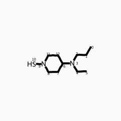 CCCN(CC)C1CCN(S)CC1